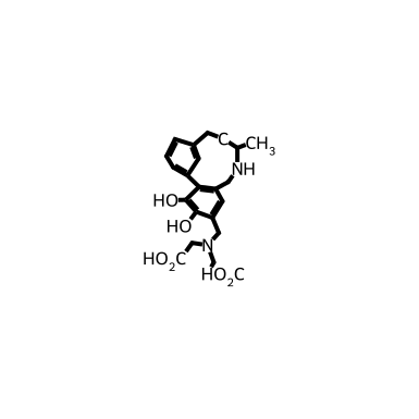 CC1CCc2cccc(c2)-c2c(cc(CN(CC(=O)O)CC(=O)O)c(O)c2O)CN1